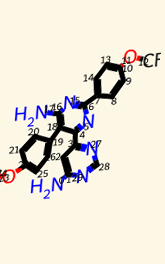 Nc1cc(-c2nc(-c3ccc(OC(F)(F)F)cc3)nc(N)c2-c2ccc(OC(F)(F)F)cc2)ncn1